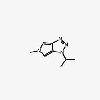 CC(C)n1nnc2cn(C)cc21